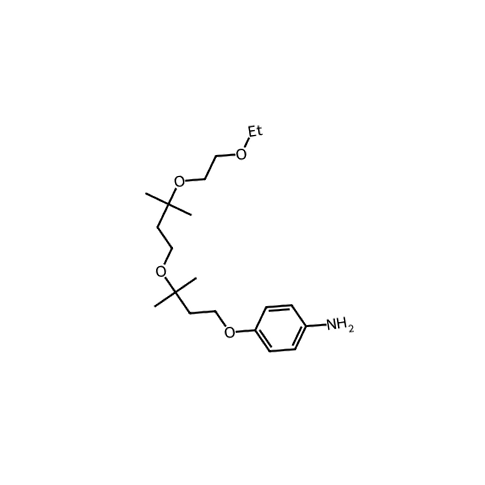 CCOCCOC(C)(C)CCOC(C)(C)CCOc1ccc(N)cc1